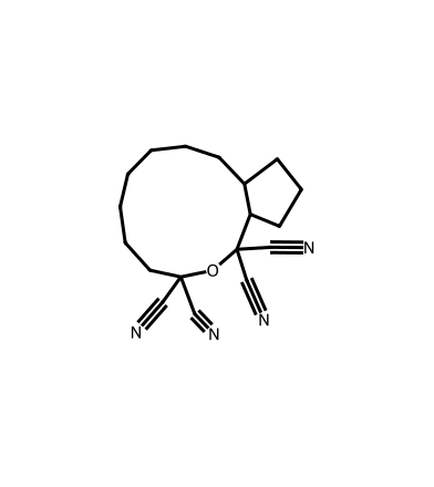 N#CC1(C#N)CCCCCCCC2CCCC2C(C#N)(C#N)O1